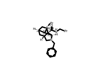 CC(C)CNC(=O)[C@]12NC[C@@H]3C[C@H]1CN(Cc1ccccc1)[C@H]2[C@@H]3CC(C)C